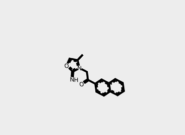 Cc1coc(=N)n1CC(=O)c1ccc2ccccc2c1